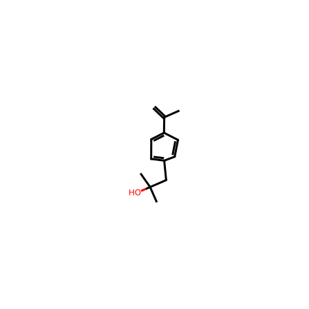 C=C(C)c1ccc(CC(C)(C)O)cc1